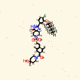 [2H]C([2H])([2H])C([2H])([2H])C([2H])([2H])C([2H])([2H])Oc1cc(C2=NC3(CCN(S(=O)(=O)/C=C/c4c(C)cc(C(=O)N5CCC(C)(O)CC5)cc4C)CC3)C(=O)N2)ccc1F